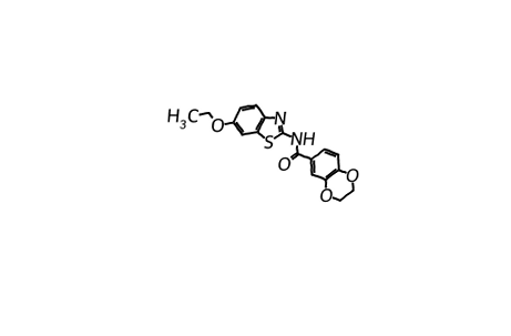 CCOc1ccc2nc(NC(=O)c3ccc4c(c3)OCCO4)sc2c1